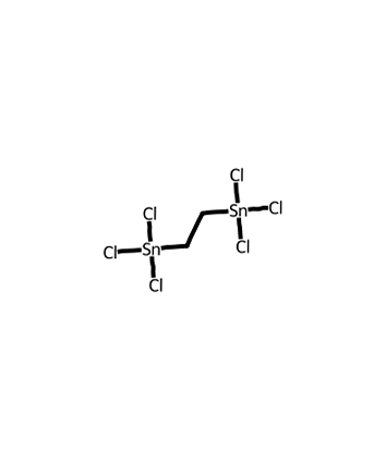 [Cl][Sn]([Cl])([Cl])[CH2][CH2][Sn]([Cl])([Cl])[Cl]